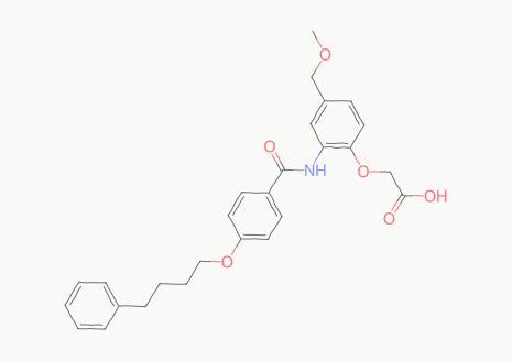 COCc1ccc(OCC(=O)O)c(NC(=O)c2ccc(OCCCCc3ccccc3)cc2)c1